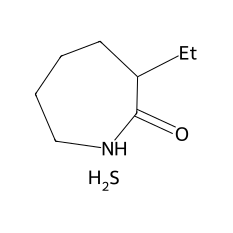 CCC1CCCCNC1=O.S